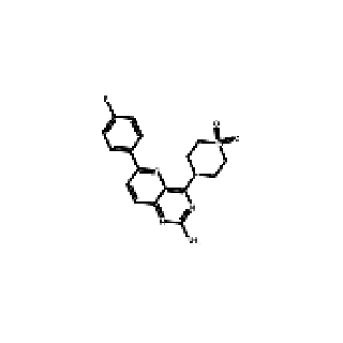 Nc1nc(N2CCS(=O)(=O)CC2)c2nc(-c3ccc(F)cc3)ccc2n1